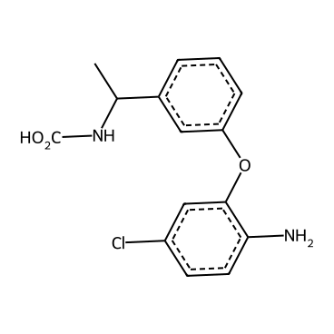 CC(NC(=O)O)c1cccc(Oc2cc(Cl)ccc2N)c1